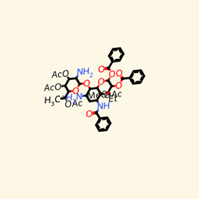 CCC(OC)C(OC(=O)c1ccccc1)C(OC(=O)c1ccccc1)OC1C(OC2OC([C@@H](C)OC(C)=O)C(OC(C)=O)C(OC(C)=O)C2N)C(N)CC(NC(=O)c2ccccc2)C1OC(C)=O